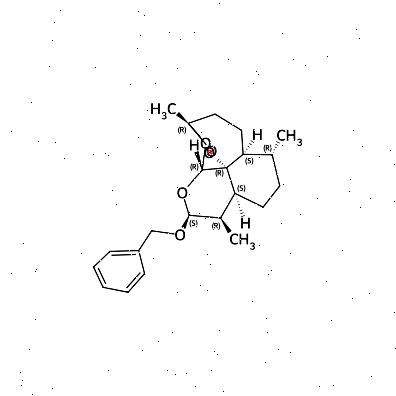 C[C@H]1[C@@H](OCc2ccccc2)O[C@@H]2O[C@@]3(C)CC[C@H]4[C@H](C)CC[C@@H]1[C@@]24OO3